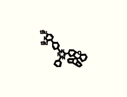 CC(C)(C)c1ccc(-c2ccc(-c3nc(-c4ccccc4)nc(-c4ccc5c(c4)C4(c6ccccc6O5)c5ccccc5-c5ccccc54)n3)cc2)c(C(C)(C)C)n1